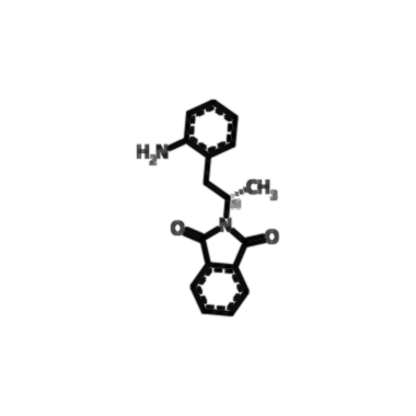 C[C@@H](Cc1ccccc1N)N1C(=O)c2ccccc2C1=O